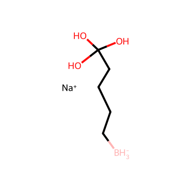 [BH3-]CCCCC(O)(O)O.[Na+]